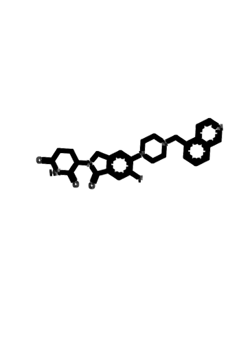 O=C1CCC(N2Cc3cc(N4CCN(Cc5cccc6cnccc56)CC4)c(F)cc3C2=O)C(=O)N1